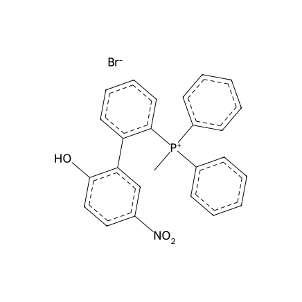 C[P+](c1ccccc1)(c1ccccc1)c1ccccc1-c1cc([N+](=O)[O-])ccc1O.[Br-]